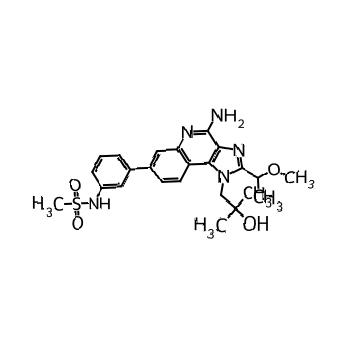 COC(C)c1nc2c(N)nc3cc(-c4cccc(NS(C)(=O)=O)c4)ccc3c2n1CC(C)(C)O